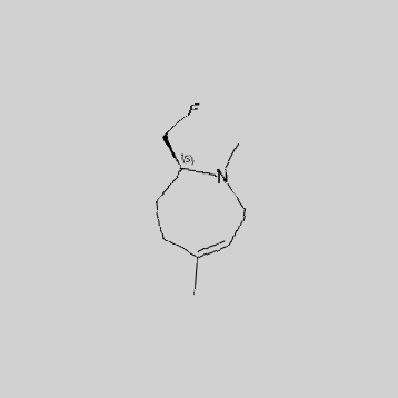 CC1=CCN(C)[C@H](CF)CC1